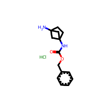 Cl.NC12CCC(NC(=O)OCc3ccccc3)(C1)C2